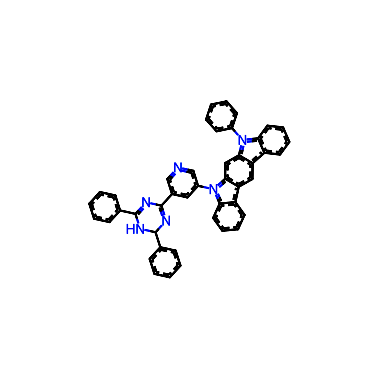 c1ccc(C2=NC(c3cncc(-n4c5ccccc5c5cc6c7ccccc7n(-c7ccccc7)c6cc54)c3)=NC(c3ccccc3)N2)cc1